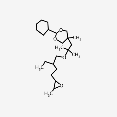 CCC(CCC1OC1C)COC(C)(C)CC1(C)COC(C2CCCCC2)OC1